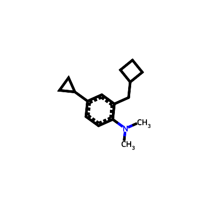 CN(C)c1ccc(C2CC2)cc1CC1CCC1